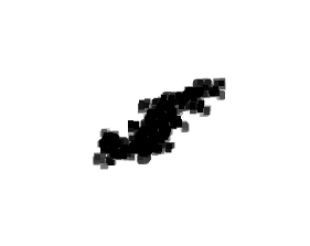 CC(C)C1=C2[C@H]3CCC4[C@@]5(C)CC[C@H](OC(=O)CC(C)(C)C(=O)O)C(C)(C)C5CC[C@@]4(C)[C@]3(C)CC[C@@]2(/C=C/C(=O)N[C@H](C)c2ccccn2)CC1=O